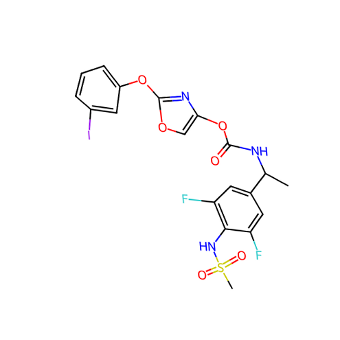 CC(NC(=O)Oc1coc(Oc2cccc(I)c2)n1)c1cc(F)c(NS(C)(=O)=O)c(F)c1